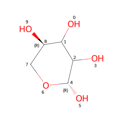 OC1C(O)[C@H](O)OC[C@H]1O